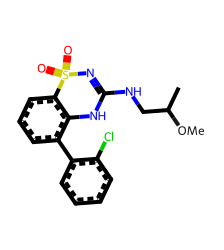 COC(C)CNC1=NS(=O)(=O)c2cccc(-c3ccccc3Cl)c2N1